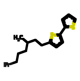 CC(C)CCCC(C)CCc1ccc(-c2cccs2)s1